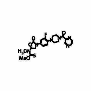 COC(=S)N(C)C1CN(c2ccc(N3CCN(C(=O)c4cnccn4)CC3)c(F)c2)C(=O)O1